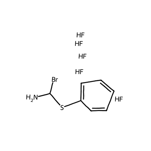 F.F.F.F.F.NC(Br)Sc1ccccc1